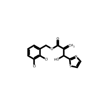 C=C(C(=O)OCc1cccc(Cl)c1Cl)C(O)c1nccs1